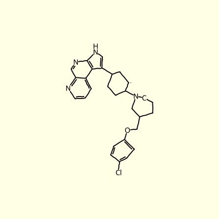 Clc1ccc(OCC2CCCN(C3[CH]CC(c4c[nH]c5ncc6ncccc6c45)CC3)C2)cc1